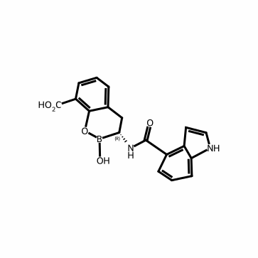 O=C(O)c1cccc2c1OB(O)[C@@H](NC(=O)c1cccc3[nH]ccc13)C2